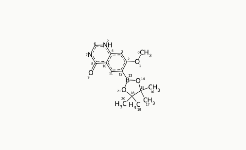 COc1cc2[nH]cnc(=O)c2cc1B1OC(C)(C)C(C)(C)O1